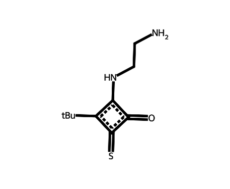 CC(C)(C)c1c(NCCN)c(=O)c1=S